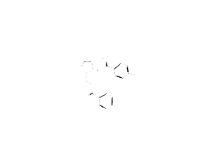 Cc1ccc(C(=O)OCC2OCC[C@H]2OC(=O)c2ccc(C)cc2)cc1